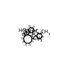 Cc1cccc(Oc2ccccc2C2(S(=O)(=O)O)CCCCCCC(C)C2)c1C